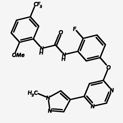 COc1ccc(C(F)(F)F)cc1NC(=O)Nc1cc(Oc2cc(-c3cnn(C)c3)ncn2)ccc1F